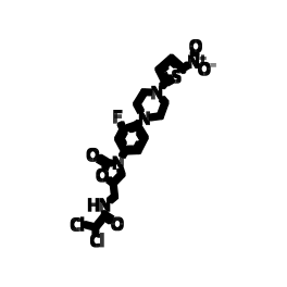 O=C(NCC1CN(c2ccc(N3CCN(c4ccc([N+](=O)[O-])s4)CC3)c(F)c2)C(=O)O1)C(Cl)Cl